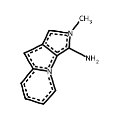 Cn1cc2cc3ccccn3c2c1N